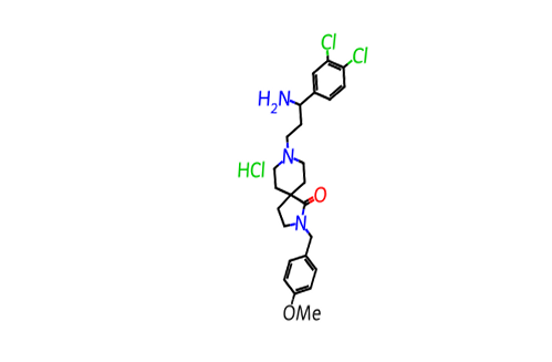 COc1ccc(CN2CCC3(CCN(CCC(N)c4ccc(Cl)c(Cl)c4)CC3)C2=O)cc1.Cl